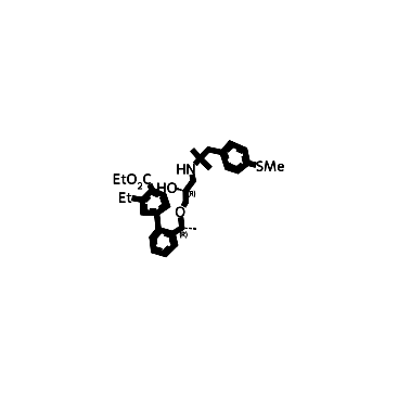 CCOC(=O)c1ccc(-c2ccccc2[C@@H](C)OC[C@H](O)CNC(C)(C)Cc2ccc(SC)cc2)cc1CC